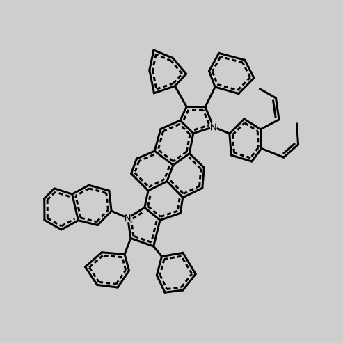 C/C=C\c1ccc(-n2c(-c3ccccc3)c(-c3ccccc3)c3cc4ccc5c6c(ccc(c46)c32)cc2c(-c3ccccc3)c(-c3ccccc3)n(-c3ccc4ccccc4c3)c25)cc1/C=C\C